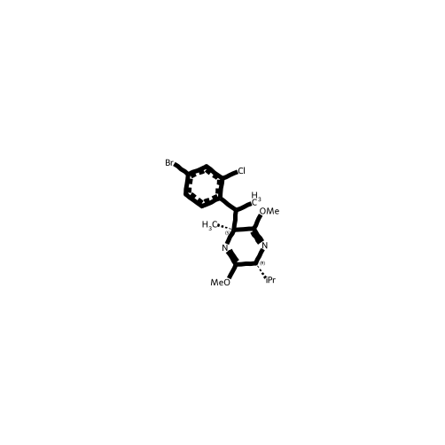 COC1=N[C@@](C)(C(C)c2ccc(Br)cc2Cl)C(OC)=N[C@@H]1C(C)C